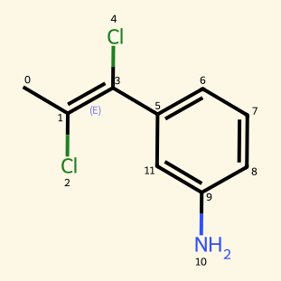 C/C(Cl)=C(\Cl)c1cccc(N)c1